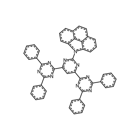 c1ccc(-c2nc(-c3ccccc3)nc(-c3cc(-c4nc(-c5ccccc5)nc(-c5ccccc5)n4)nc(-n4c5cccc6ccc7cccc4c7c65)n3)n2)cc1